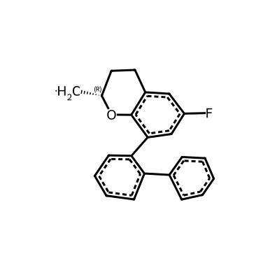 [CH2][C@@H]1CCc2cc(F)cc(-c3ccccc3-c3ccccc3)c2O1